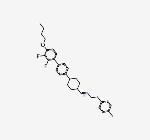 CCCCOc1ccc(-c2ccc(C3CCC(/C=C/CCc4ccc(C)cc4)CC3)cc2)c(F)c1F